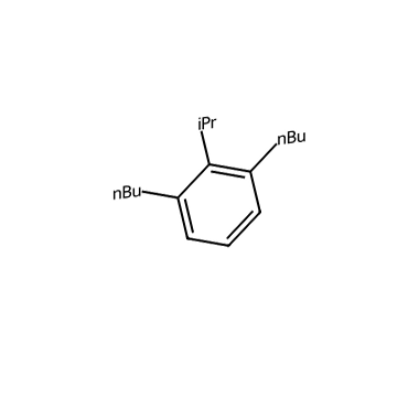 CCCCc1cccc(CCCC)c1C(C)C